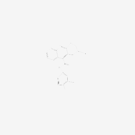 CCCCN1CCc2nc3ccccc3c(C(=O)Nc3ccc(F)c(F)c3)c2C1